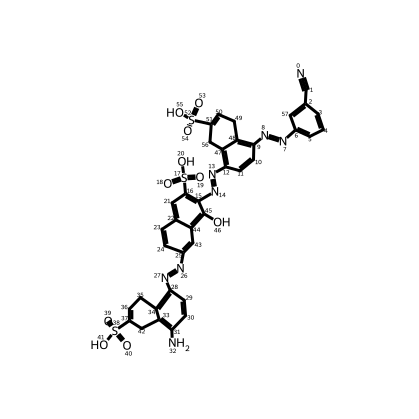 N#Cc1cccc(N=Nc2ccc(N=Nc3c(S(=O)(=O)O)cc4ccc(N=Nc5ccc(N)c6c5CC=C(S(=O)(=O)O)C6)cc4c3O)c3c2CC=C(S(=O)(=O)O)C3)c1